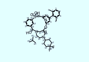 Cc1cccc(C)c1-c1cc2nc(n1)NS(=O)(=O)c1cccc(c1)C(O)N1C[C@@H](CN(C3CCC(F)(F)CC3)C[C@@H]1CC(C)C)O2